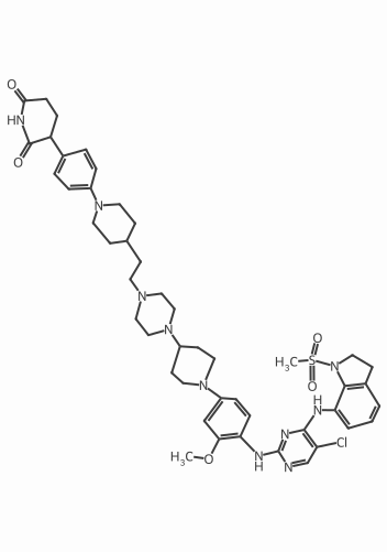 COc1cc(N2CCC(N3CCN(CCC4CCN(c5ccc(C6CCC(=O)NC6=O)cc5)CC4)CC3)CC2)ccc1Nc1ncc(Cl)c(Nc2cccc3c2N(S(C)(=O)=O)CC3)n1